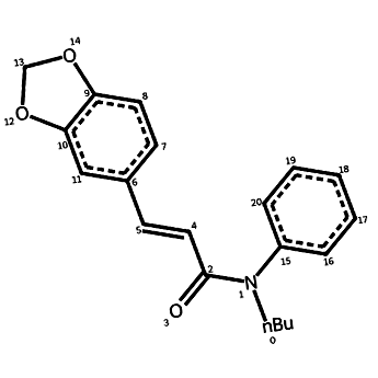 CCCCN(C(=O)/C=C/c1ccc2c(c1)OCO2)c1ccccc1